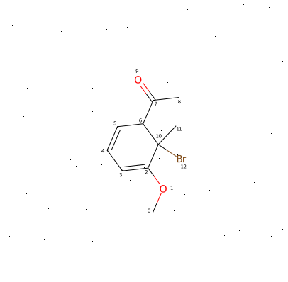 COC1=CC=CC(C(C)=O)C1(C)Br